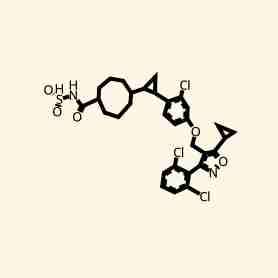 O=C(N[SH](=O)=O)C1CCCC(C2CC2c2ccc(OCc3c(-c4c(Cl)cccc4Cl)noc3C3CC3)cc2Cl)CCC1